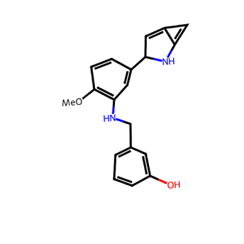 COc1ccc(C2C=C3C=C3N2)cc1NCc1cccc(O)c1